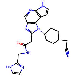 N#CC[C@H]1CC[C@H](n2c(CC(=O)NCc3ncc[nH]3)nc3cnc4[nH]ccc4c32)CC1